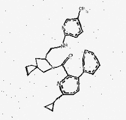 O=C(c1nc(C2CC2)ccc1-c1ccccc1)N1CC2(CC2)C[C@H]1CNc1ccc(C(F)(F)F)cn1